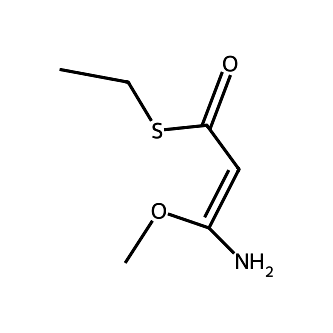 CCSC(=O)/C=C(/N)OC